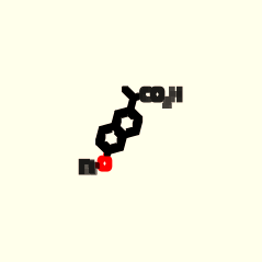 CCOc1ccc2cc(C(C)C(=O)O)ccc2c1